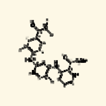 CNC(=O)c1ncccc1Nc1cc(Nc2ccc(C(=O)N(C)C)cc2C)ncc1C